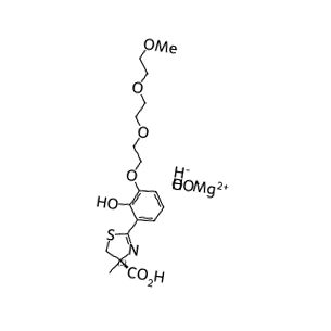 COCCOCCOCCOc1cccc(C2=N[C@@](C)(C(=O)O)CS2)c1O.[Mg+2].[OH-].[OH-]